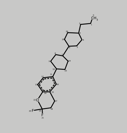 CCCC1CCC(C2CCC(c3ccc4c(c3)CCC(F)(F)O4)CC2)CC1